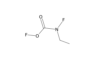 CCN(F)C(=O)OF